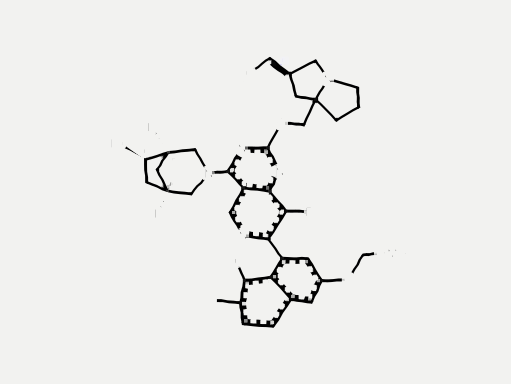 C/C=C1/CN2CCCC2(COc2nc(N3C[C@@H]4C[C@H](C3)[C@H](O)C4)c3cnc(-c4cc(OCOC)cc5ccc(F)c(CC)c45)c(F)c3n2)C1